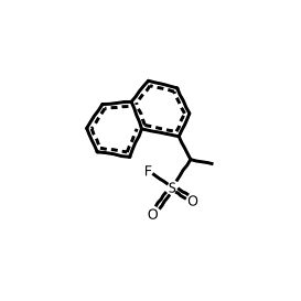 CC(c1cccc2ccccc12)S(=O)(=O)F